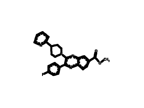 COC(=O)c1ccc2nc(-c3ccc(F)cc3)c(N3CCC(c4ccccn4)CC3)nc2c1